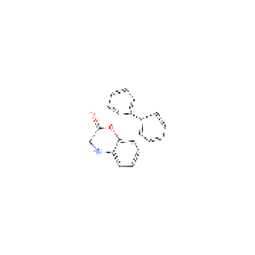 O=C1CNc2ccccc2O1.c1ccc(-c2ccccc2)cc1